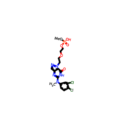 COP(=O)(O)OCCOCCn1ncc2nc(N(C)c3ccc(Cl)c(Cl)c3)[nH]c(=O)c21